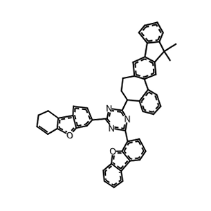 CC1(C)c2ccccc2-c2cc3c(cc21)-c1ccccc1C(c1nc(-c2ccc4c5c(oc4c2)C=CCC5)nc(-c2cccc4c2oc2ccccc24)n1)CC3